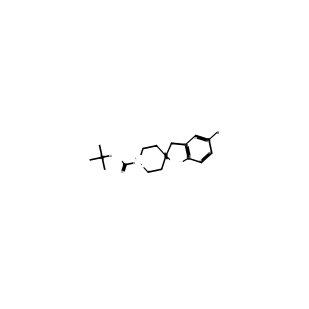 CC(C)(C)OC(=O)N1CCC2(CC1)Cc1cc(I)ccc1O2